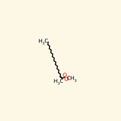 CCCCCCCCCCCCCCCCCCC=C(C)C(=O)OC